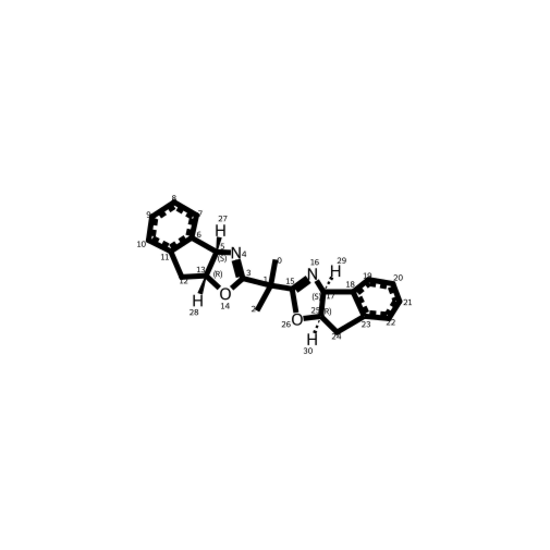 CC(C)(C1=N[C@H]2c3ccccc3C[C@H]2O1)C1=N[C@H]2c3ccccc3C[C@H]2O1